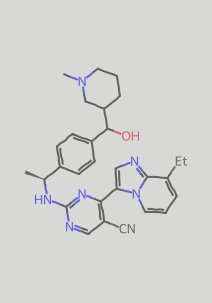 CCc1cccn2c(-c3nc(N[C@@H](C)c4ccc(C(O)C5CCCN(C)C5)cc4)ncc3C#N)cnc12